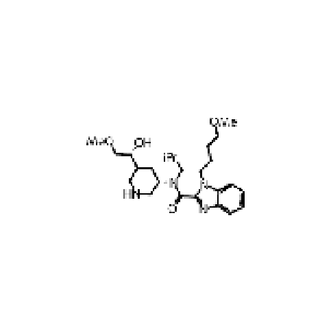 COCCCCn1c(C(=O)N(CC(C)C)[C@@H]2CNCC([C@@H](O)COC)C2)nc2ccccc21